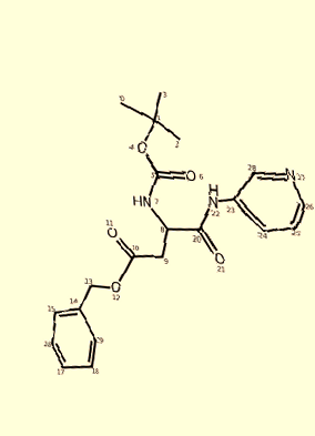 CC(C)(C)OC(=O)NC(CC(=O)OCc1ccccc1)C(=O)Nc1cccnc1